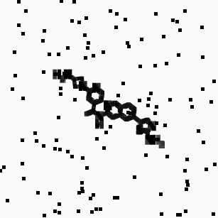 C=C(Nc1cc2cc(-c3cnc(N)s3)ccc2cn1)c1ccnc(N2CC(N)C2)c1